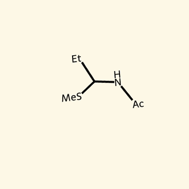 [CH2]CC(NC(C)=O)SC